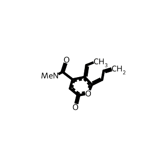 C=C/C=c1/oc(=O)cc(C(=O)NC)/c1=C/C